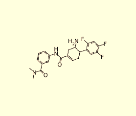 CN(C)C(=O)c1cccc(NC(=O)C2=CCC(c3cc(F)c(F)cc3F)C(N)C2)c1